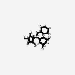 CC1=C(C)C(C)C([SiH](CC2CCCCC2)c2cc(C)cc(C)c2)=C1C